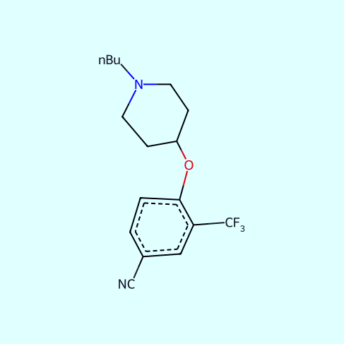 CCCCN1CCC(Oc2ccc(C#N)cc2C(F)(F)F)CC1